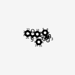 O=S(=O)(OS(c1ccccc1)(c1ccccc1)c1ccc2oc3ccccc3c(=S)c2c1)C(F)(F)F